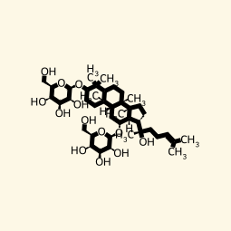 CC(C)=CCC[C@](C)(O)[C@H]1CC[C@@]2(C)[C@@H]1[C@H](O[C@@H]1O[C@H](CO)[C@@H](O)[C@H](O)[C@H]1O)C[C@@H]1[C@@]3(C)CCC(O[C@@H]4O[C@H](CO)[C@@H](O)[C@H](O)[C@H]4O)C(C)(C)C3CC[C@]12C